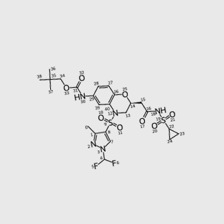 Cc1nn(C(F)F)cc1S(=O)(=O)N1C[C@H](CC(=O)NS(=O)(=O)C2CC2)Oc2ccc(NC(=O)OCC(C)(C)C)cc21